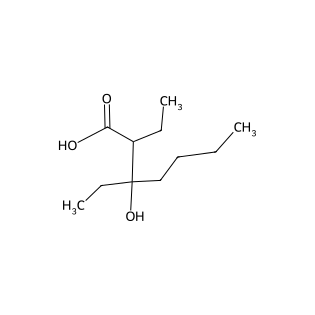 CCCCC(O)(CC)C(CC)C(=O)O